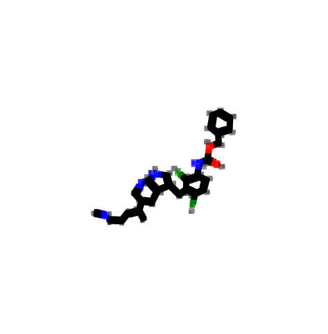 C=N/C=C\C=C(/C)c1cnc2[nH]cc(Cc3c(F)ccc(NC(=O)OCc4ccccc4)c3F)c2c1